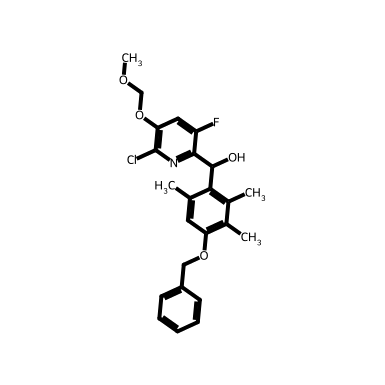 COCOc1cc(F)c(C(O)c2c(C)cc(OCc3ccccc3)c(C)c2C)nc1Cl